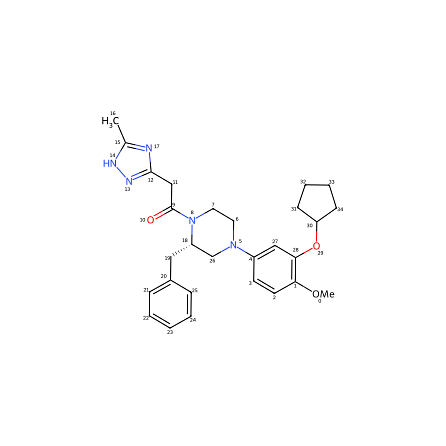 COc1ccc(N2CCN(C(=O)Cc3n[nH]c(C)n3)[C@@H](Cc3ccccc3)C2)cc1OC1CCCC1